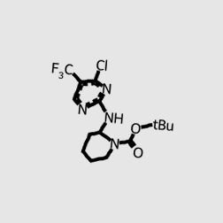 CC(C)(C)OC(=O)N1CCCCC1Nc1ncc(C(F)(F)F)c(Cl)n1